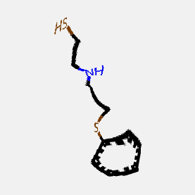 SCCNCCSc1ccccc1